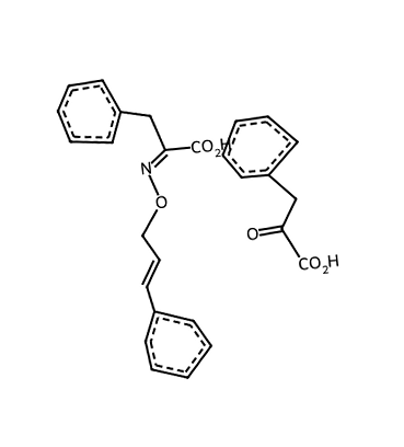 O=C(O)C(=O)Cc1ccccc1.O=C(O)C(Cc1ccccc1)=NOCC=Cc1ccccc1